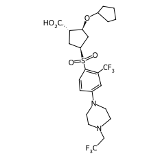 O=C(O)[C@H]1C[C@H](S(=O)(=O)c2ccc(N3CCN(CC(F)(F)F)CC3)cc2C(F)(F)F)C[C@@H]1OC1CCCC1